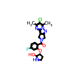 Cc1nc2c3c(nn2c(C)c1Cl)CN(C(=O)c1ccc(F)cc1O[C@@H]1CCNC1O)C3